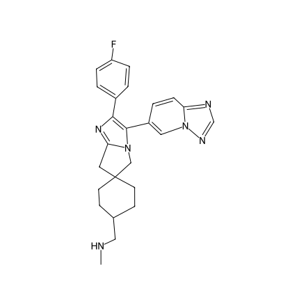 CNCC1CCC2(CC1)Cc1nc(-c3ccc(F)cc3)c(-c3ccc4ncnn4c3)n1C2